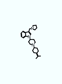 CC(C)=C1CCC(N2CCC(n3cc(CN4CCCC4)c4ccccc43)CC2)CC1